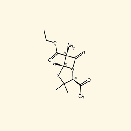 CCOC(=O)[C@]1(N)C(=O)N2[C@@H](C(=O)O)C(C)(C)S[C@@H]21